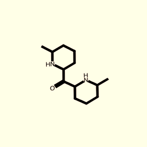 CC1CCCC(C(=O)C2CCCC(C)N2)N1